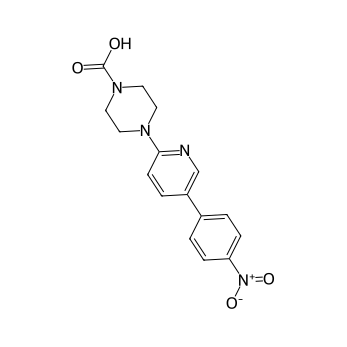 O=C(O)N1CCN(c2ccc(-c3ccc([N+](=O)[O-])cc3)cn2)CC1